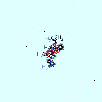 CCC(CC)COC(=O)[C@H](C)NP(=O)(OC[C@@]1(CF)O[C@@H](c2ccc3c(N)ncnn23)[C@H](OC(C)=O)[C@@H]1OC(C)=O)Oc1ccccc1